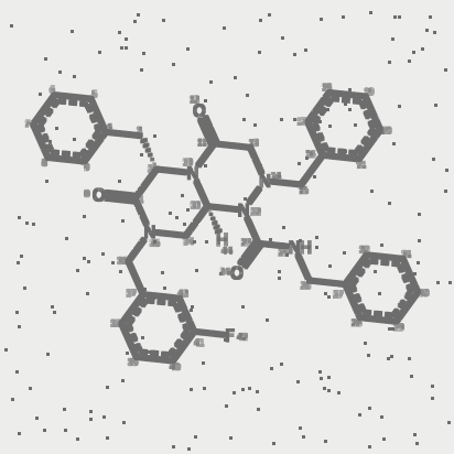 O=C1[C@H](Cc2ccccc2)N2C(=O)CN(Cc3ccccc3)N(C(=O)NCc3ccccc3)[C@H]2CN1Cc1cccc(F)c1